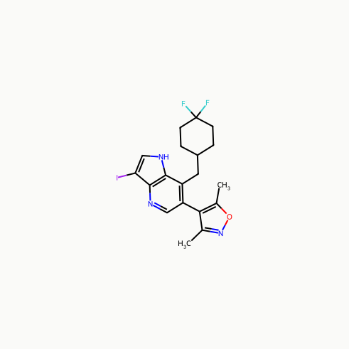 Cc1noc(C)c1-c1cnc2c(I)c[nH]c2c1CC1CCC(F)(F)CC1